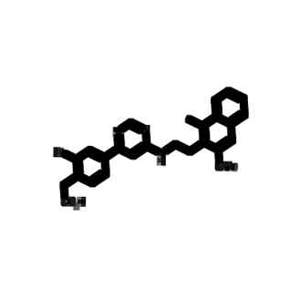 CCc1cc(-c2cc(NCCc3c(OC)cc4ccccc4c3C)ncn2)ccc1CC(=O)O